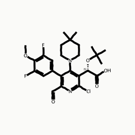 COc1c(F)cc(-c2c(C=O)nc(Cl)c([C@H](OC(C)(C)C)C(=O)O)c2N2CCC(C)(C)CC2)cc1F